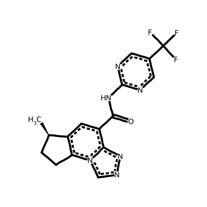 C[C@@H]1CCc2c1cc(C(=O)Nc1ncc(C(F)(F)F)cn1)c1nncn21